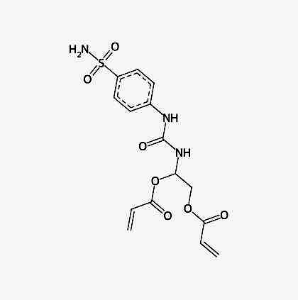 C=CC(=O)OCC(NC(=O)Nc1ccc(S(N)(=O)=O)cc1)OC(=O)C=C